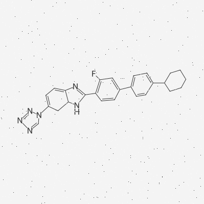 Fc1cc(-c2ccc(C3CCCCC3)cc2)ccc1C1=NC2=CC=C(n3cnnn3)CC2N1